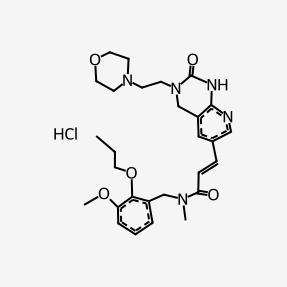 CCCOc1c(CN(C)C(=O)C=Cc2cnc3c(c2)CN(CCN2CCOCC2)C(=O)N3)cccc1OC.Cl